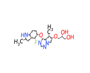 Cc1cc2c(F)c(Oc3ncnn4cc(OCC(O)CO)c(C)c34)ccc2[nH]1